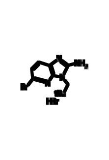 Br.CC(C)(C)Cn1c(N)nc2ccc(Br)nc21